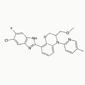 COCC1COc2c(-c3nc4cc(Cl)c(F)cc4[nH]3)cccc2N1c1ccc(C)cn1